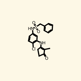 CC1=C(Nc2cc(NS(=O)(=O)Cc3ccccc3)ccc2Cl)CCC1=O